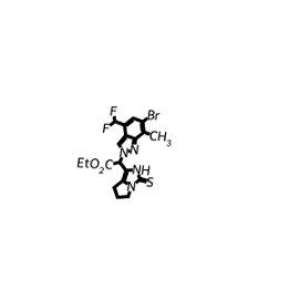 CCOC(=O)C(c1[nH]c(=S)n2c1CCC2)n1cc2c(C(F)F)cc(Br)c(C)c2n1